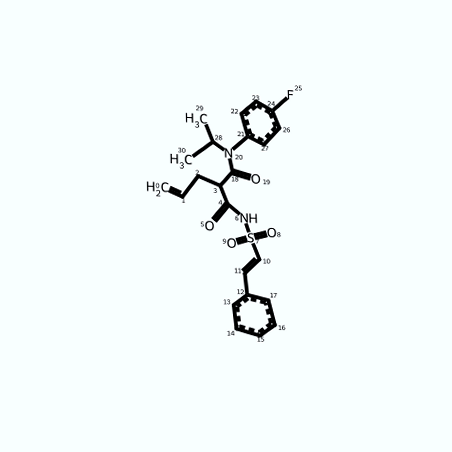 C=CCC(C(=O)NS(=O)(=O)C=Cc1ccccc1)C(=O)N(c1ccc(F)cc1)C(C)C